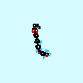 CC1COC(c2ccc(-c3ccc(C4CCC(C(F)(F)Oc5cc(F)c(OC(F)F)c(F)c5)CC4)c(F)c3)cc2)OC1